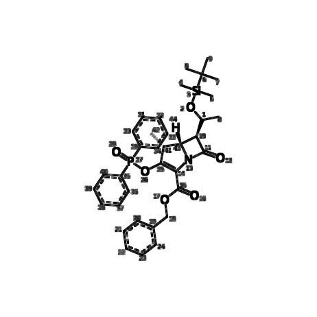 CC(O[Si](C)(C)C(C)(C)C)[C@H]1C(=O)N2C(C(=O)OCc3ccccc3)=C(OP(=O)(c3ccccc3)c3ccccc3)[C@H](C)[C@H]12